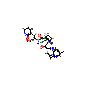 Cc1cncc(N[C@H](CC2CC2)C(=O)N2[C@H]3CC[C@@H]([C@@H]2C(=O)N[C@@H](C#N)C[C@@H]2CCCNC2=O)C(F)(F)C3)c1